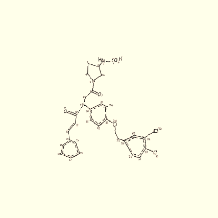 O=C(O)NC1CCN(C(=O)CN(C(=O)C=Cc2ccccc2)c2ccc(OCc3ccc(Cl)c(Cl)c3)cc2)C1